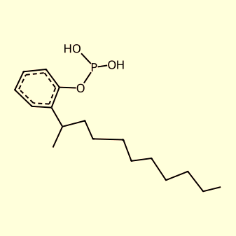 CCCCCCCCCC(C)c1ccccc1OP(O)O